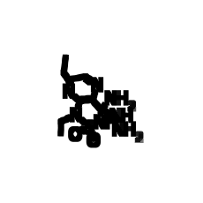 CCc1cnc2c(n1)N(CC)S(=O)(=O)NC2(N)NN